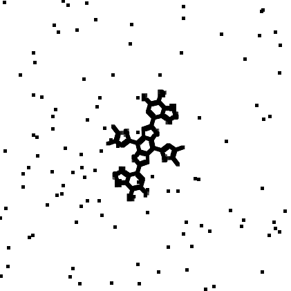 Cc1cc(-c2c3cc(-c4cc(F)c(Br)c5nsnc45)sc3c(-c3cc(C)c(C)s3)c3cc(-c4cc(F)c(Br)c5nsnc45)sc23)sc1C